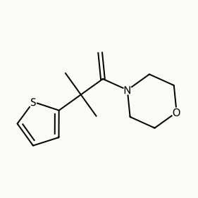 C=C(N1CCOCC1)C(C)(C)c1cccs1